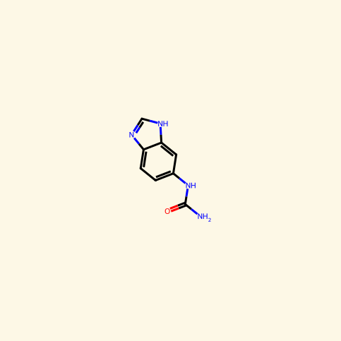 NC(=O)Nc1ccc2nc[nH]c2c1